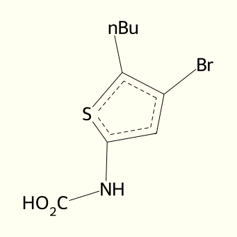 CCCCc1sc(NC(=O)O)cc1Br